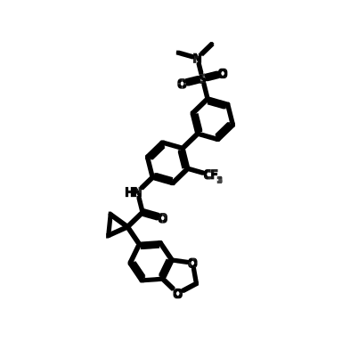 CN(C)S(=O)(=O)c1cccc(-c2ccc(NC(=O)C3(c4ccc5c(c4)OCO5)CC3)cc2C(F)(F)F)c1